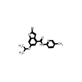 Cc1ccc(NC(=O)c2cc(OC(C)C)cc3oc(Br)cc23)nc1